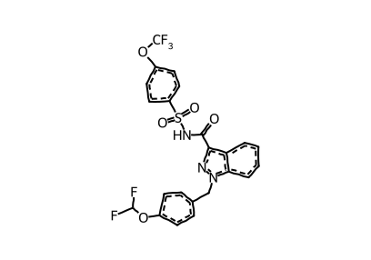 O=C(NS(=O)(=O)c1ccc(OC(F)(F)F)cc1)c1nn(Cc2ccc(OC(F)F)cc2)c2ccccc12